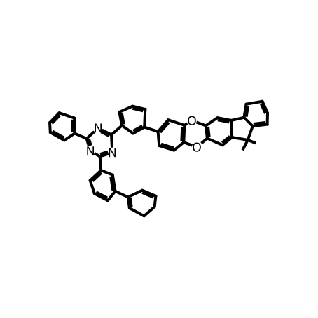 CC1(C)c2ccccc2-c2cc3c(cc21)Oc1ccc(-c2cccc(-c4nc(-c5ccccc5)nc(-c5cccc(C6=CCCC=C6)c5)n4)c2)cc1O3